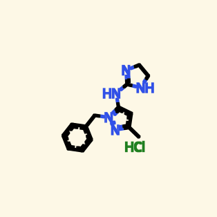 Cc1cc(NC2=NCCN2)n(Cc2ccccc2)n1.Cl